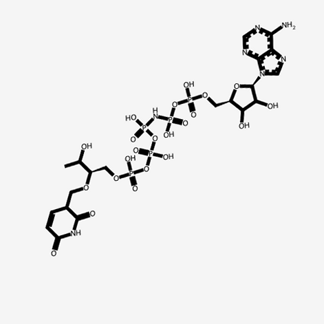 CC(O)[C@@H](COP(=O)(O)OP(=O)(O)OP(=O)(O)NP(=O)(O)OP(=O)(O)OC[C@H]1O[C@@H](n2cnc3c(N)ncnc32)C(O)C1O)OCC1C=CC(=O)NC1=O